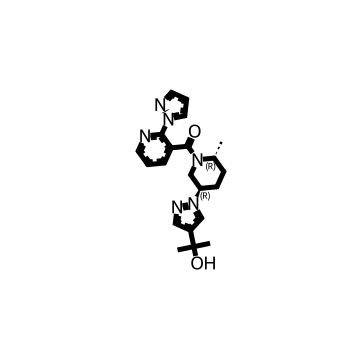 C[C@@H]1CC[C@@H](n2cc(C(C)(C)O)cn2)CN1C(=O)c1cccnc1-n1cccn1